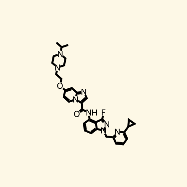 CC(C)N1CCN(CCOc2ccn3c(C(=O)Nc4cccc5c4c(F)nn5Cc4cccc(C5CC5)n4)cnc3c2)CC1